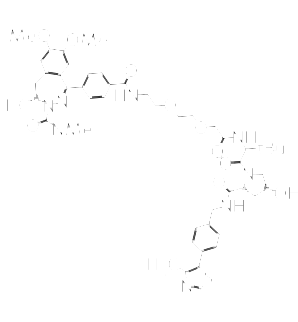 CNC(=O)N1N=C(c2ccc(C(=O)NCCOCCOCC(=O)NC(C(=O)N3C[C@H](O)C[C@H]3C(=O)NCc3ccc(-c4scnc4C)cc3)C(C)(C)C)cc2)c2cc(OC)c(OC)cc2C[C@@H]1C